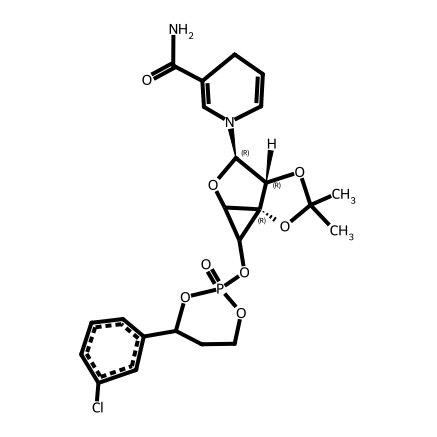 CC1(C)O[C@H]2[C@H](N3C=CCC(C(N)=O)=C3)OC3C(OP4(=O)OCCC(c5cccc(Cl)c5)O4)[C@@]32O1